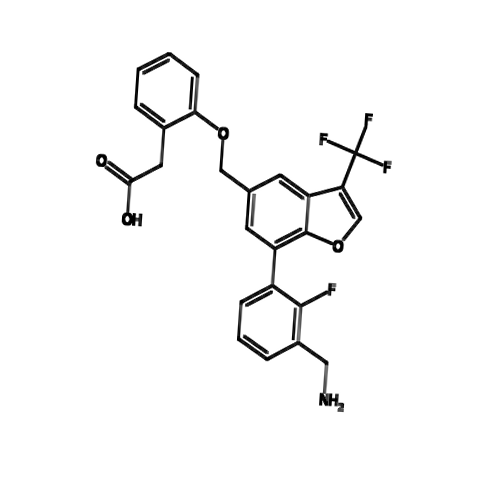 NCc1cccc(-c2cc(COc3ccccc3CC(=O)O)cc3c(C(F)(F)F)coc23)c1F